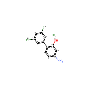 Cl.Nc1ccc(-c2cc(Cl)cc(Cl)c2)c(O)c1